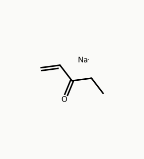 C=CC(=O)CC.[Na]